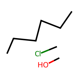 CCCCCC.CCl.CO